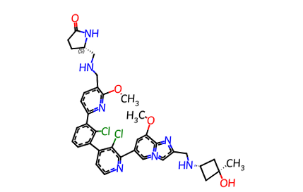 COc1nc(-c2cccc(-c3ccnc(-c4cc(OC)c5nc(CN[C@H]6C[C@](C)(O)C6)cn5c4)c3Cl)c2Cl)ccc1CNC[C@@H]1CCC(=O)N1